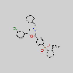 COc1ccccc1S(=O)(=O)c1ccc(CCN(Cc2ccccc2)C[C@H](O)c2cccc(Cl)c2)cc1